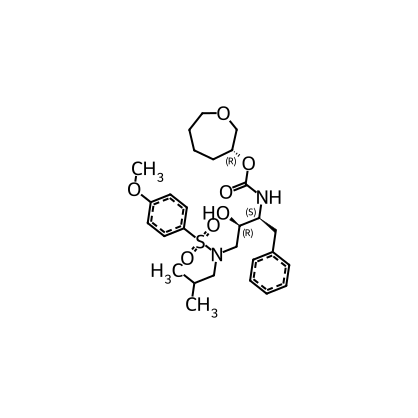 COc1ccc(S(=O)(=O)N(CC(C)C)C[C@@H](O)[C@H](Cc2ccccc2)NC(=O)O[C@@H]2CCCCOC2)cc1